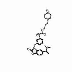 C=C(c1ccc2oc(=O)n(Cc3cccc(NC(=O)OCCCN4CCNCC4)c3)c2c1)N(C)C